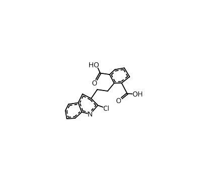 O=C(O)c1cccc(C(=O)O)c1CCc1cc2ccccc2nc1Cl